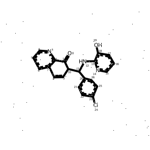 O=C1c2ncccc2C=CC1C(Nc1ncccc1O)c1ccc(Cl)cc1